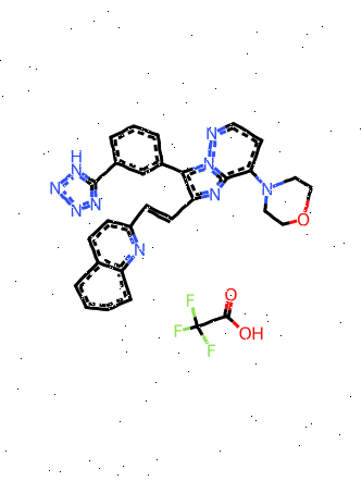 C(=Cc1nc2c(N3CCOCC3)ccnn2c1-c1cccc(-c2nnn[nH]2)c1)c1ccc2ccccc2n1.O=C(O)C(F)(F)F